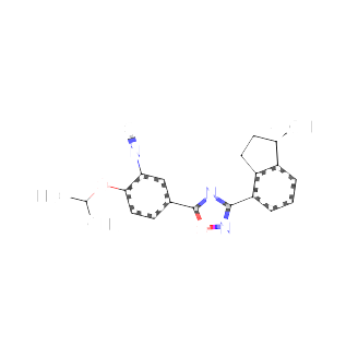 [C-]#[N+]c1cc(-c2nc(-c3cccc4c3CC[C@H]4C)no2)ccc1OC(C)C